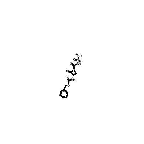 CNS(=O)(=O)NC(=O)N1C[C@H](NC(=O)OCc2ccccc2)C1=O